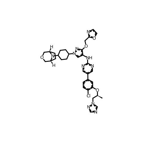 C[C@@H](Cn1cncn1)Oc1cc(-c2cnc(Nc3cn(C4CCC(N5[C@@H]6CC[C@H]5COC6)CC4)nc3OCc3ncco3)nc2)ccc1Cl